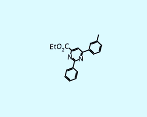 CCOC(=O)c1cc(-c2cccc(C)c2)nc(-c2ccccc2)n1